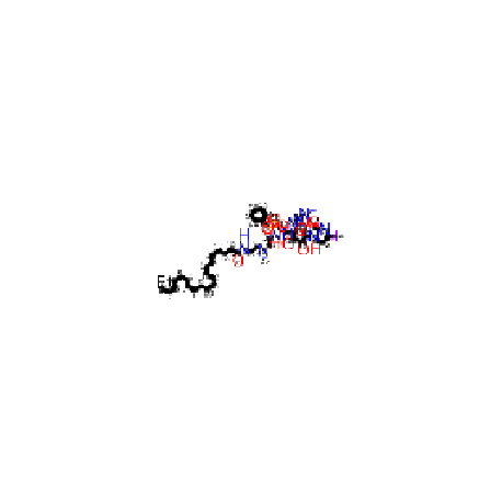 CC/C=C\C/C=C\C/C=C\C/C=C\C/C=C\C/C=C\CCC(=O)NCCN(C)CCNP(=O)(OC[C@@]1(N=[N+]=[N-])O[C@@H](n2ccc(I)nc2=O)[C@H](O)[C@@H]1O)Oc1ccccc1